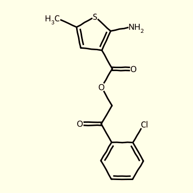 Cc1cc(C(=O)OCC(=O)c2ccccc2Cl)c(N)s1